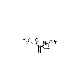 C=CC(=O)Nc1ccn(CCC)n1